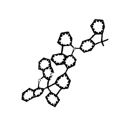 CC1(C)c2ccccc2-c2cc(N(c3ccc(-c4ccc5c(c4)C4(c6ccccc6-5)c5ccc6ccccc6c5Oc5c4ccc4ccccc54)cc3)c3ccccc3-c3ccccc3)ccc21